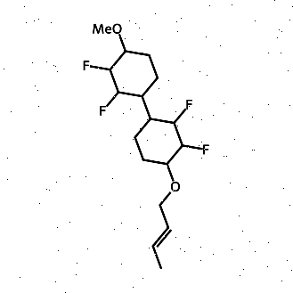 CC=CCOC1CCC(C2CCC(OC)C(F)C2F)C(F)C1F